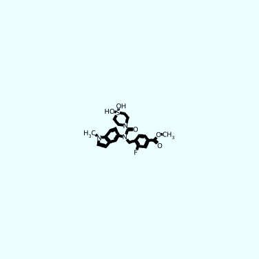 COC(=O)c1ccc(CN(C(=O)N2CCS(O)(O)CC2)c2ccc3c(ccn3C)c2)c(F)c1